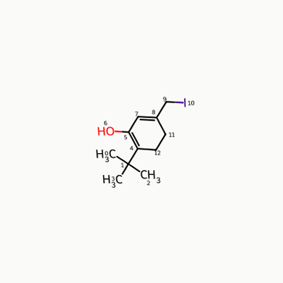 CC(C)(C)C1=C(O)C=C(CI)CC1